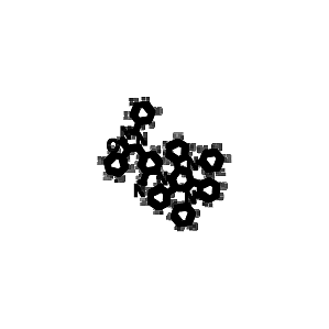 N#Cc1cc(-c2nc(-c3ccccc3)nc3oc4ccccc4c23)ccc1-n1c2ccccc2c2c3c(c4ccccc4n3-c3ccccc3)c3c(c4ccccc4n3-c3ccccc3)c21